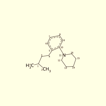 CC(C)CCc1ccccc1N1CCCCC1